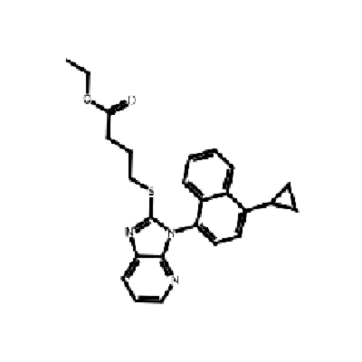 CCOC(=O)CCCSc1nc2cccnc2n1-c1ccc(C2CC2)c2ccccc12